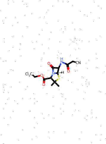 CC1(C)S[C@@H]2C(NC(=O)CC#N)C(=O)N2C1C(=O)OCC(Cl)(Cl)Cl